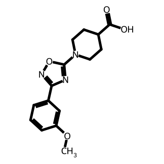 COc1cccc(-c2noc(N3CCC(C(=O)O)CC3)n2)c1